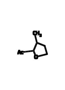 CC(=O)C1OCCC1C